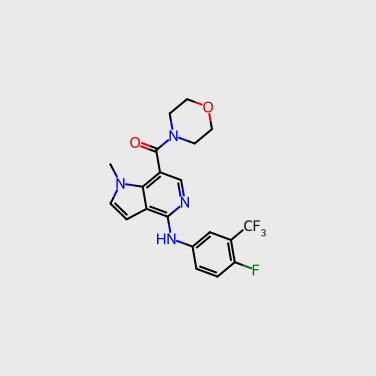 Cn1ccc2c(Nc3ccc(F)c(C(F)(F)F)c3)ncc(C(=O)N3CCOCC3)c21